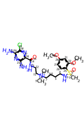 C=S(=O)(NCCCC[N+](C)(C)CCNC(=O)c1nc(Cl)c(N)nc1N)c1ccc(OC)cc1OC